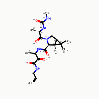 C=CCNC(=O)C(=O)C(CCC)NC(=O)[C@@H]1[C@@H]2C(CN1C(=O)[C@@H](NC(=O)NC(C)(C)C)C(C)C)C2(C)C